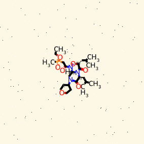 CCOP(C)(=O)CC(=O)N1O[C@H](CC(C)C)C(=O)N2[C@@H]1CN(C1CCOCC1)C(=O)[C@@H]2CC(C)C